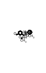 CC(=O)N[C@H](B1OC2CC3CC(C3(C)C)[C@]2(C)O1)c1cccc(C=O)c1